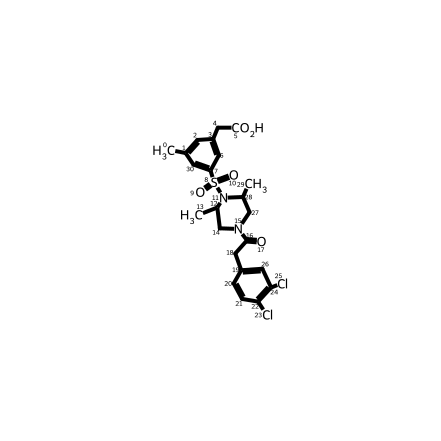 Cc1cc(CC(=O)O)cc(S(=O)(=O)N2C(C)CN(C(=O)Cc3ccc(Cl)c(Cl)c3)CC2C)c1